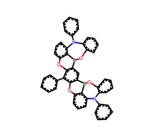 c1ccc(-c2c3c(cc4c2Oc2cccc5c2B4Oc2ccccc2N5c2ccccc2)B2Oc4ccccc4N(c4ccccc4)c4cccc(c42)O3)cc1